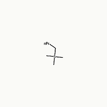 CCCCS(C)(C)C